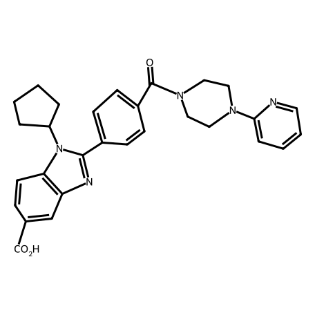 O=C(O)c1ccc2c(c1)nc(-c1ccc(C(=O)N3CCN(c4ccccn4)CC3)cc1)n2C1CCCC1